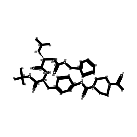 CC(=O)N1CCN(C(=O)Oc2ccc(C[C@H](NC(=O)[C@H](CC(C)C)NC(=O)OCc3ccccc3)C(=O)OC(C)(C)C)cc2)CC1